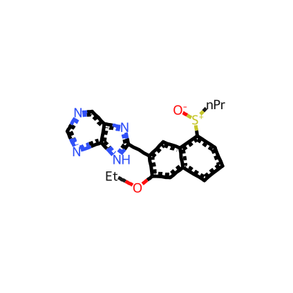 CCC[S+]([O-])c1cccc2cc(OCC)c(-c3nc4cncnc4[nH]3)cc12